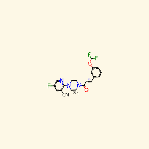 C[C@@H]1CN(c2ncc(F)cc2C#N)CCN1C(=O)/C=C/c1cccc(OC(F)F)c1